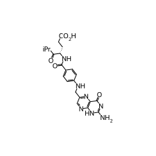 CC(C)C(=O)[C@H](CCC(=O)O)NC(=O)c1ccc(NCc2cnc3[nH]c(N)nc(=O)c3n2)cc1